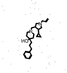 C=CCN1CC(CN2CCC(O)(CCCc3ccccc3)CC2)C(C2CC2)C1